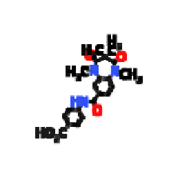 CN1C(=O)C(C)(C)C(=O)N(C)c2cc(C(=O)Nc3ccc(C(=O)O)cc3)ccc21